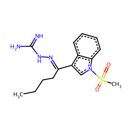 CCCCC(=NNC(=N)N)c1cn(S(C)(=O)=O)c2ccccc12